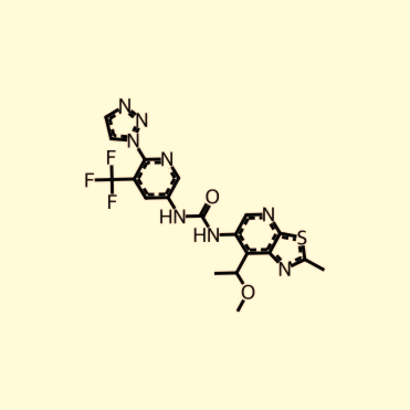 COC(C)c1c(NC(=O)Nc2cnc(-n3ccnn3)c(C(F)(F)F)c2)cnc2sc(C)nc12